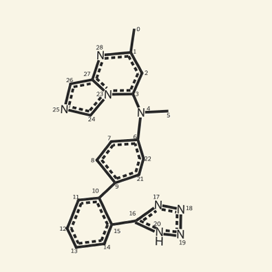 Cc1cc(N(C)c2ccc(-c3ccccc3-c3nnn[nH]3)cc2)n2cncc2n1